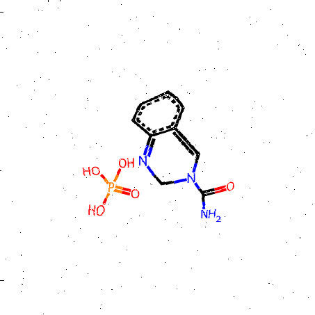 NC(=O)N1C=c2ccccc2=NC1.O=P(O)(O)O